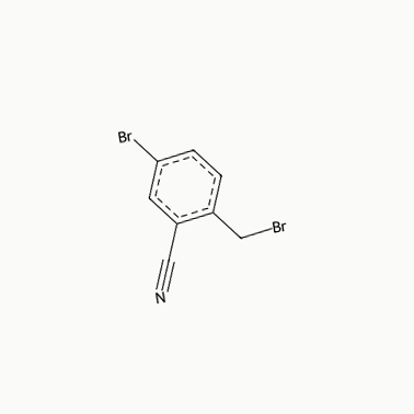 N#Cc1cc(Br)ccc1CBr